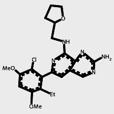 CCc1c(OC)cc(OC)c(Cl)c1-c1cc2cnc(N)nc2c(NCC2CCCO2)n1